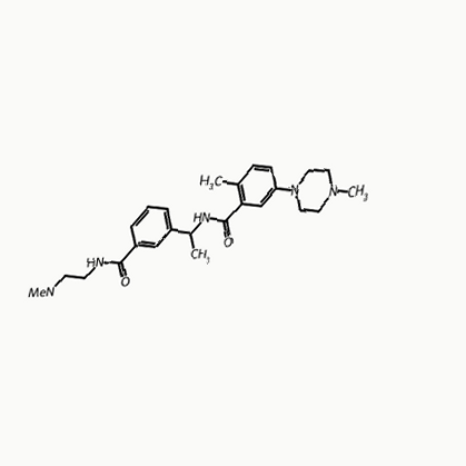 CNCCNC(=O)c1cccc(C(C)NC(=O)c2cc(N3CCN(C)CC3)ccc2C)c1